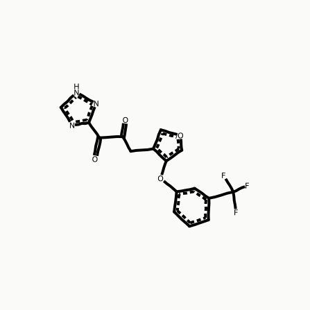 O=C(Cc1cocc1Oc1cccc(C(F)(F)F)c1)C(=O)c1nc[nH]n1